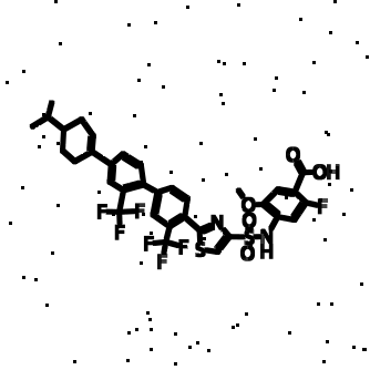 COc1cc(C(=O)O)c(F)cc1NS(=O)(=O)c1csc(-c2ccc(-c3ccc(C4=CCC(C(C)C)CC4)cc3C(F)(F)F)cc2C(F)(F)F)n1